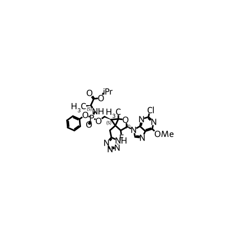 COc1nc(Cl)nc2c1ncn2[C@@H]1OC2(C)[C@H](COP(=O)(N[C@@H](C)C(=O)OC(C)C)Oc3ccccc3)C2(Cc2nnn[nH]2)C1F